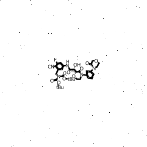 [C-]#[N+]c1c(F)cc(NC(=O)[C@H](O)[C@H]2OCCN(c3cccc(N4CCOCC4=O)c3)C2=O)cc1CN(C(=O)OC(C)(C)C)C(=O)OC(C)(C)C